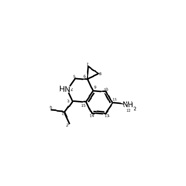 CC(C)C1NCC2(CC2)c2cc(N)ccc21